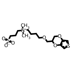 C[N+](C)(CCCCOCC1COc2cscc2O1)CCCS(=O)(=O)[O-]